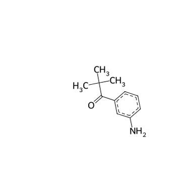 CC(C)(C)C(=O)c1cccc(N)c1